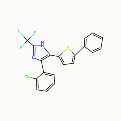 FC(F)(F)c1nc(-c2ccccc2Cl)c(-c2ccc(-c3ccccc3)s2)[nH]1